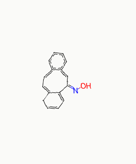 O\N=C1/C=c2/cccc/c2=C/C=C2/CC=CC=C21